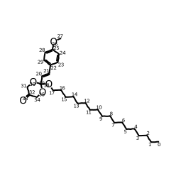 CCCCCCCCCCCCCCCCCCOC1(C=Cc2ccc(OC)cc2)OCC(=O)CO1